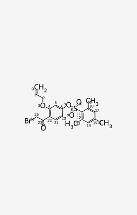 C=CCOc1cc(OS(=O)(=O)c2c(C)cc(C)cc2C)ccc1C(=O)CBr